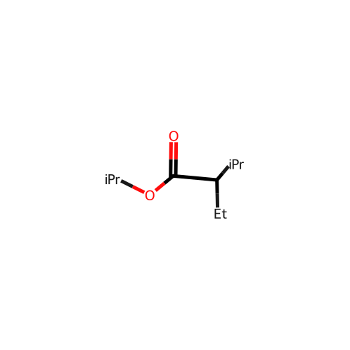 CCC(C(=O)OC(C)C)C(C)C